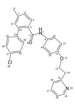 Cc1ccc(C(=O)Nc2ccc(OCCc3ccccn3)cc2)c(-c2ccc(Cl)cc2)c1